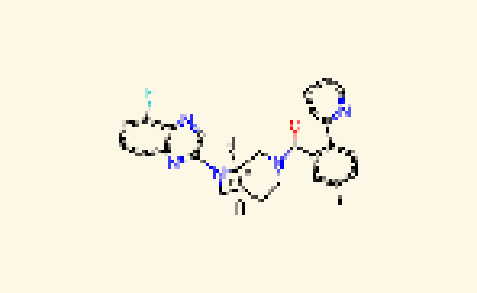 Cc1ccc(-c2ccccn2)c(C(=O)N2CC[C@H]3CN(c4cnc5c(F)cccc5n4)[C@H]3C2)c1